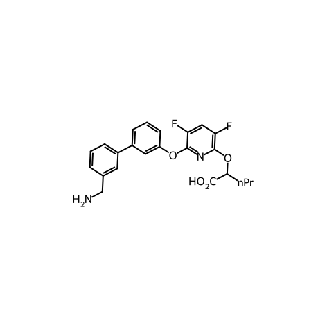 CCCC(Oc1nc(Oc2cccc(-c3cccc(CN)c3)c2)c(F)cc1F)C(=O)O